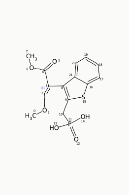 CO/C=C(/C(=O)OC)c1c(CP(=O)(O)O)sc2ccccc12